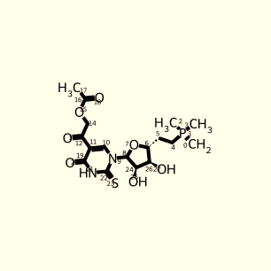 C=P(C)(C)CC[C@H]1OC(n2cc(C(=O)COC(C)=O)c(=O)[nH]c2=S)[C@H](O)[C@@H]1O